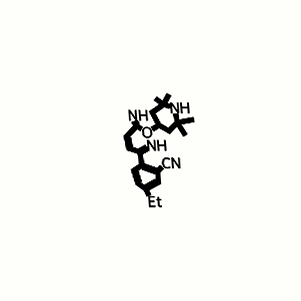 CCc1ccc(C(=N)/C=C\C(=N)OC2CC(C)(C)NC(C)(C)C2)c(C#N)c1